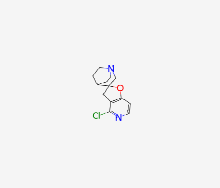 Clc1nccc2c1CC1(CN3CCC1CC3)O2